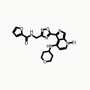 CCn1ccc(NC2CCOCC2)c2c(-c3nc(CNC(=O)c4ccco4)no3)ncc1-2